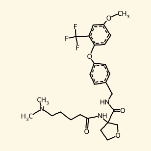 COc1ccc(Oc2ccc(CNC(=O)C3(NC(=O)CCCCN(C)C)CCOC3)cc2)c(C(F)(F)F)c1